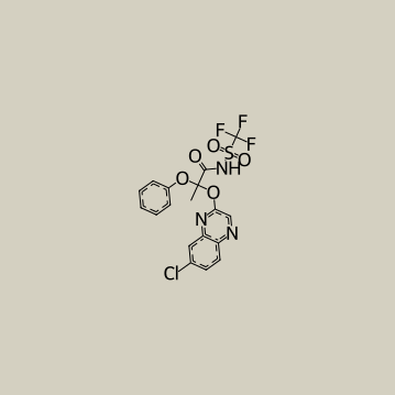 CC(Oc1ccccc1)(Oc1cnc2ccc(Cl)cc2n1)C(=O)NS(=O)(=O)C(F)(F)F